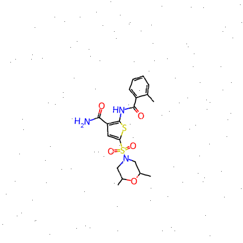 Cc1ccccc1C(=O)Nc1sc(S(=O)(=O)N2CC(C)OC(C)C2)cc1C(N)=O